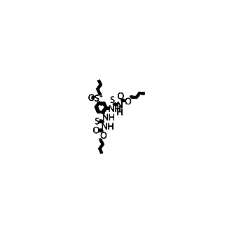 CCCCOC(=O)NC(=S)Nc1ccc([S+]([O-])CCCC)cc1NC(=S)NC(=O)OCCCC